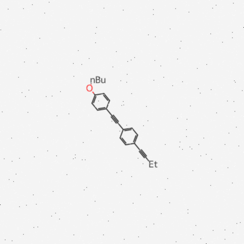 CCC#Cc1ccc(C#Cc2ccc(OCCCC)cc2)cc1